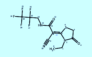 CCN1C(=O)CS/C1=C(/C#N)C(=O)NCC(F)(F)C(F)(F)F